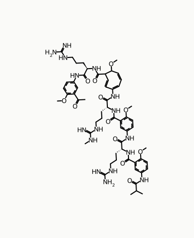 CNC(=N)NCCC[C@@H](NC(=O)c1cc(NC(=O)[C@@H](CCCNC(=N)N)NC(=O)c2cc(NC(=O)C(C)C)ccc2OC)ccc1OC)C(=O)NC1=C/C=C\C(OC)C(C(=O)N[C@H](CCCNC(=N)N)C(=O)Nc2ccc(OC)c(C(C)=O)c2)\C=C\1